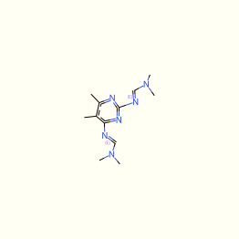 Cc1nc(/N=C/N(C)C)nc(/N=C/N(C)C)c1C